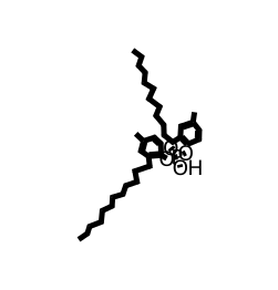 CCCCCCCCCCCCc1cc(C)ccc1OP(=O)(O)Oc1ccc(C)cc1CCCCCCCCCCCC